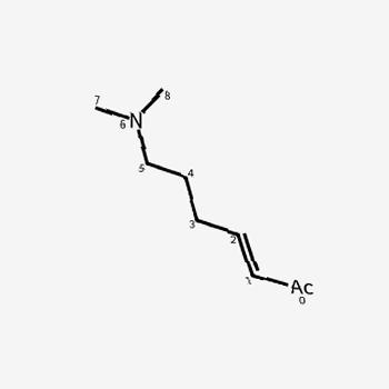 CC(=O)/C=C/CCCN(C)C